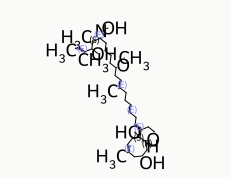 C/C=C(\C)C(O)[C@@H](C)/C(CCCCC(C/C=C(\C)CC/C=C/C/C=C1\CCO[C@@H]2CC(O)C/C(C)=C\C[C@]12O)OC)=N/O